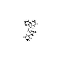 C1=CC(c2ccncn2)(c2ccncn2)Cc2[nH]nc(-c3ccncc3)c21